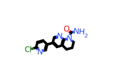 NC(=O)N1CCCc2cc(-c3ccc(Cl)nc3)cnc21